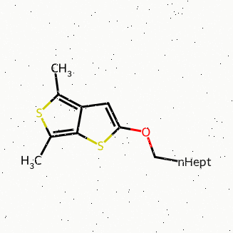 CCCCCCCCOc1cc2c(C)sc(C)c2s1